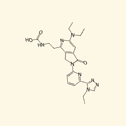 CCN(CC)c1cc2c(c(CCNC(=O)O)n1)CN(c1cccc(-c3nncn3CC)n1)C2=O